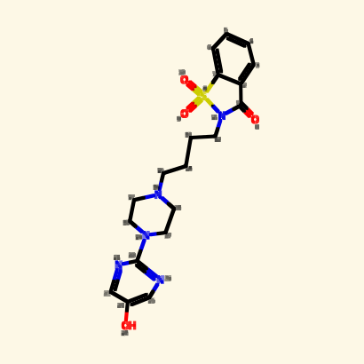 O=C1c2ccccc2S(=O)(=O)N1CCCCN1CCN(c2ncc(O)cn2)CC1